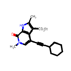 CCOC(=O)c1c(C)[nH]c2c(=O)n(C)cc(C#CC3CCCCC3)c12